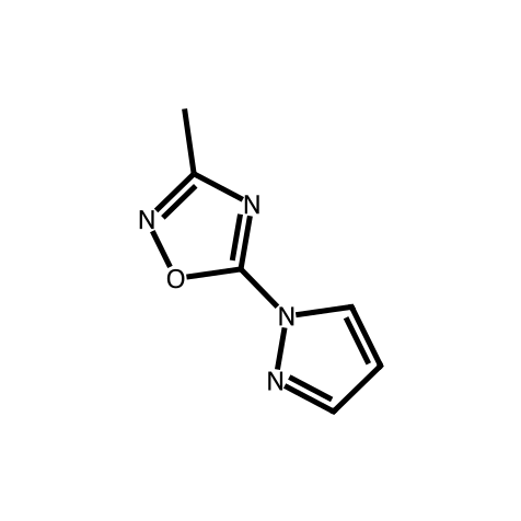 Cc1noc(-n2cccn2)n1